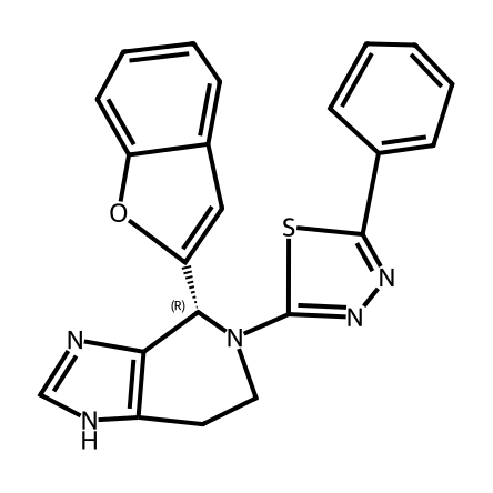 c1ccc(-c2nnc(N3CCc4[nH]cnc4[C@@H]3c3cc4ccccc4o3)s2)cc1